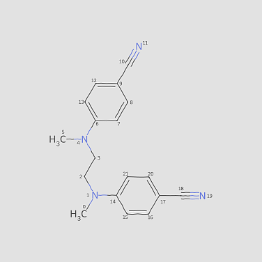 CN(CCN(C)c1ccc(C#N)cc1)c1ccc(C#N)cc1